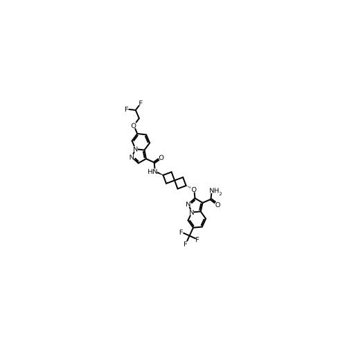 NC(=O)c1c(O[C@H]2CC3(C[C@H](NC(=O)c4cnn5cc(OCC(F)F)ccc45)C3)C2)nn2cc(C(F)(F)F)ccc12